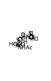 CC(=O)N[C@@H](C(=O)N1CCC[C@@H](C(=O)NCc2ccc(Cl)cc2Cl)C1)C(C)(C)O